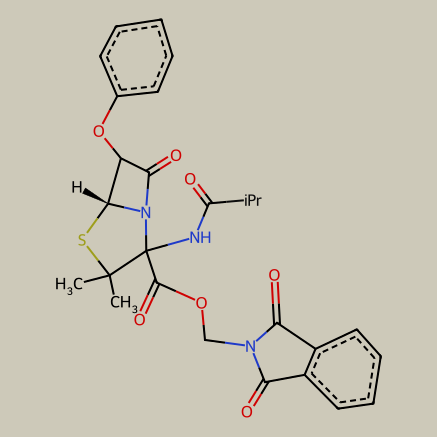 CC(C)C(=O)NC1(C(=O)OCN2C(=O)c3ccccc3C2=O)N2C(=O)C(Oc3ccccc3)[C@H]2SC1(C)C